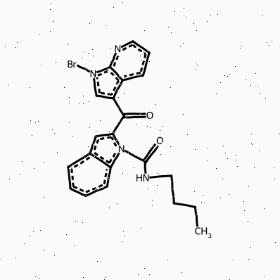 CCCCNC(=O)n1c(C(=O)c2cn(Br)c3ncccc23)cc2ccccc21